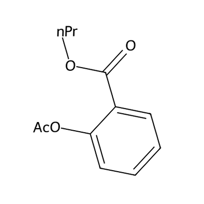 [CH2]CCOC(=O)c1ccccc1OC(C)=O